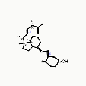 C=C1CC[C@H](O)C/C1=C/C=C1\CCC[C@@]2(C)C1CC[C@]2(C)[C@H](C)/C=C/[C@H](C)C(C)C